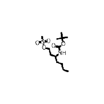 CCCCC(CCOS(C)(=O)=O)NC(=O)OC(C)(C)C